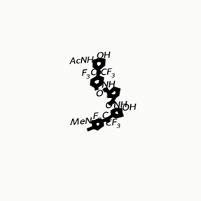 CNc1cc(C(c2ccc(O)c(NC(=O)c3cccc(C(=O)Nc4cc(C(c5ccc(O)c(NC(C)=O)c5)(C(F)(F)F)C(F)(F)F)ccc4C)c3)c2)(C(F)(F)F)C(F)(F)F)ccc1C